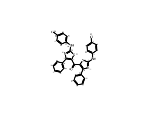 O=C(c1sc(Nc2ccc(Cl)cc2)nc1-c1ccccc1)c1sc(Nc2ccc(Cl)cc2)nc1-c1ccccc1